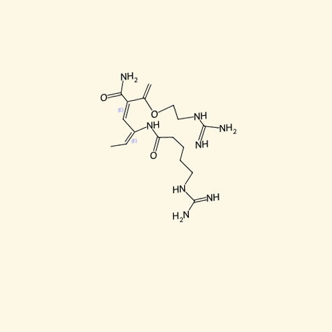 C=C(OCCNC(=N)N)/C(=C\C(=C/C)NC(=O)CCCCNC(=N)N)C(N)=O